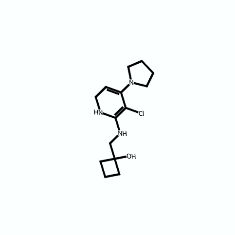 OC1(CNC2=C(Cl)C(N3CCCC3)=CCN2)CCC1